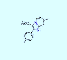 CC(=O)Oc1c(-c2ccc(C)cc2)nc2cc(C)ccn12